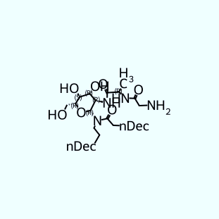 CCCCCCCCCCCCN(C(=O)CCCCCCCCCCC)[C@@H]1O[C@H](CO)[C@@H](O)[C@H](O)[C@H]1NC(=O)[C@@H](C)NC(=O)CN